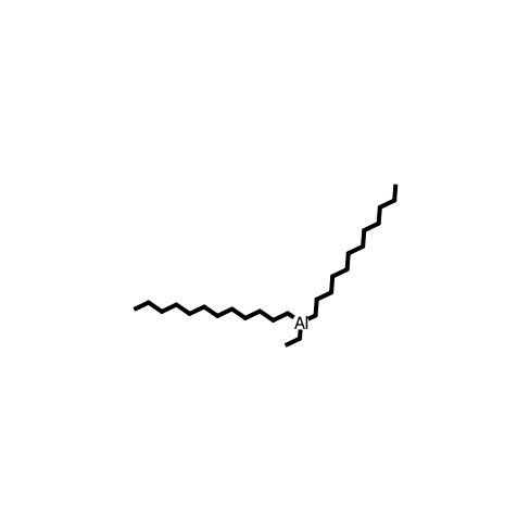 CCCCCCCCCCC[CH2][Al]([CH2]C)[CH2]CCCCCCCCCCC